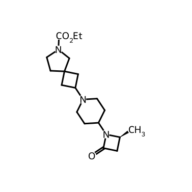 CCOC(=O)N1CCC2(CC(N3CCC(N4C(=O)C[C@@H]4C)CC3)C2)C1